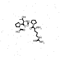 C[C@@H](O)[C@H](NC(=O)[C@@H]1CCCN1C(=O)[C@@H](N)CCCNC(=N)N)C(=O)N1CCC[C@H]1C(=O)O